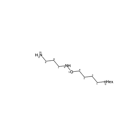 CCCCCCCCCCONCCCN